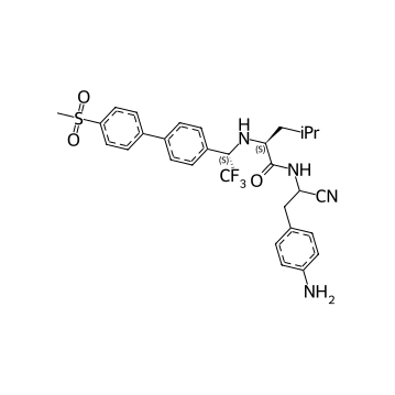 CC(C)C[C@H](N[C@@H](c1ccc(-c2ccc(S(C)(=O)=O)cc2)cc1)C(F)(F)F)C(=O)NC(C#N)Cc1ccc(N)cc1